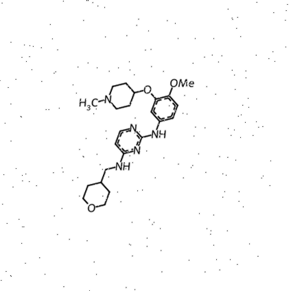 COc1ccc(Nc2nccc(NCC3CCOCC3)n2)cc1OC1CCN(C)CC1